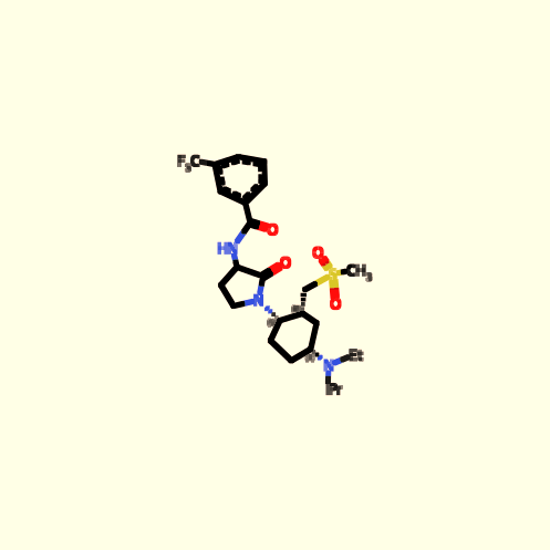 CCN(C(C)C)[C@@H]1CC[C@H](N2CCC(NC(=O)c3cccc(C(F)(F)F)c3)C2=O)[C@H](CS(C)(=O)=O)C1